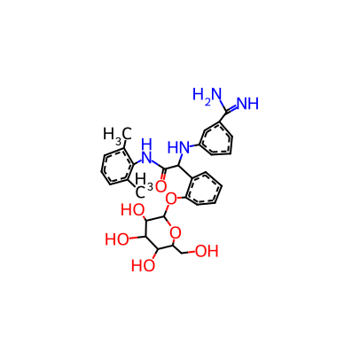 Cc1cccc(C)c1NC(=O)C(Nc1cccc(C(=N)N)c1)c1ccccc1OC1OC(CO)C(O)C(O)C1O